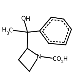 CC(O)(c1ccccc1)C1CCN1C(=O)O